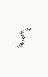 COc1cnc(CN2CCC(c3ccn4nc(C(=O)N5CCN(Cc6ccc(C(F)(F)F)cc6)CC5)cc4c3)CC2)cn1